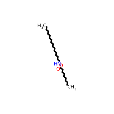 CCCCCCCCCCCCCCCCCCNOC(=O)CCCCCCCCC